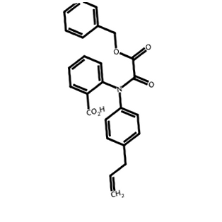 C=CCc1ccc(N(C(=O)C(=O)OCc2ccccc2)c2ccccc2C(=O)O)cc1